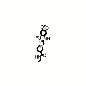 CCNC(=O)C1CCCN(CC(=O)Nc2cc3c(cc2OC)OCO3)C1